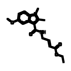 CCOC(=O)/C=C/CNC(=O)c1c(C)n(C)c2ccc(OC)cc12